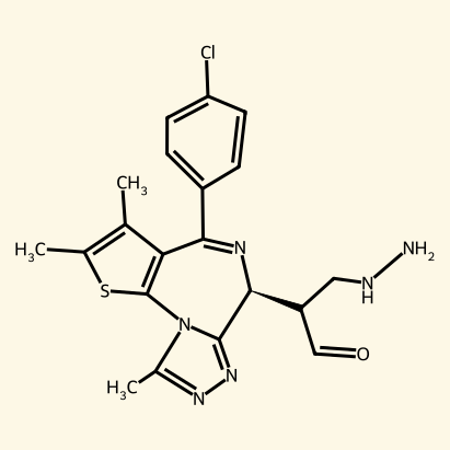 Cc1sc2c(c1C)C(c1ccc(Cl)cc1)=N[C@@H](C(C=O)CNN)c1nnc(C)n1-2